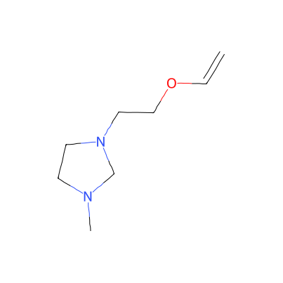 C=COCCN1CCN(C)C1